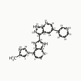 Cc1cn(-c2ccnc3[nH]c(-c4n[nH]c5ncc(-c6cccnc6)cc45)nc23)cn1